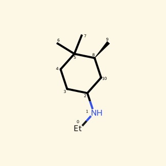 CCNC1CCC(C)(C)[C@@H](C)C1